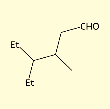 CCC(CC)C(C)CC=O